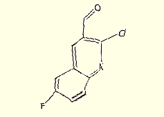 O=Cc1cc2cc(F)ccc2nc1Cl